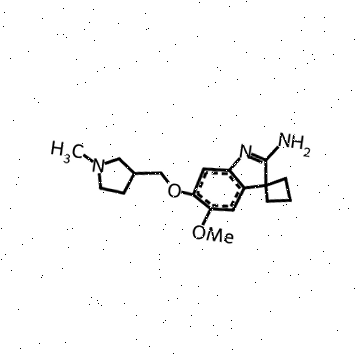 COc1cc2c(cc1OCC1CCN(C)C1)N=C(N)C21CCC1